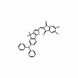 CC1(C)c2cc(N(c3ccccc3)c3ccccc3)ccc2-c2sc(C=C3C(=O)c4cc(F)c(F)cc4C3=O)cc21